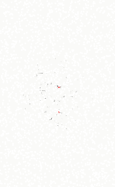 Cc1cocc1-c1c2ccccc2c(-c2cccc3oc4cccc(-c5c6ccccc6c(-c6ccccc6)c6ccccc56)c4c23)c2ccccc12